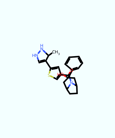 CC1NNC=C1c1cc(C(=O)N2C3CCC2CC(O)(c2ccccc2)C3)cs1